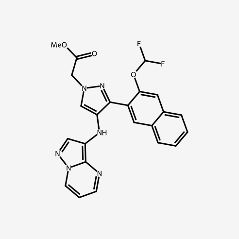 COC(=O)Cn1cc(Nc2cnn3cccnc23)c(-c2cc3ccccc3cc2OC(F)F)n1